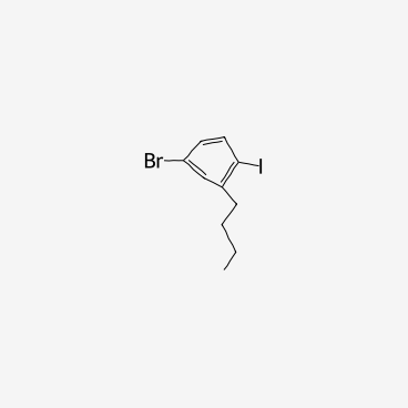 CCCCc1cc(Br)ccc1I